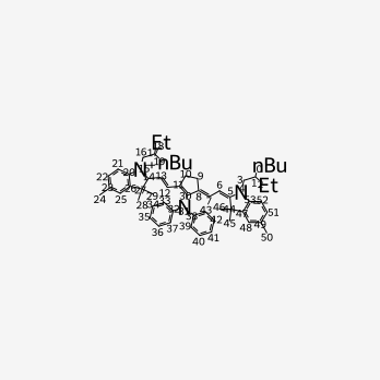 CCCCC(CC)CN1/C(=C/C=C2\CCC(/C=C/C3=[N+](CC(CC)CCCC)c4ccc(C)cc4C3(C)C)=C2N(c2ccccc2)c2ccccc2)C(C)(C)c2cc(C)ccc21